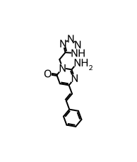 Nc1nc(C=Cc2ccccc2)cc(=O)n1Cc1nnn[nH]1